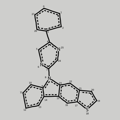 c1ccc(-c2cnc(-n3c4ccccc4c4cc5sccc5cc43)cn2)cc1